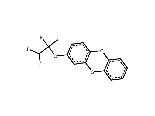 CC(F)(Oc1ccc2c(c1)Sc1ccccc1O2)C(F)F